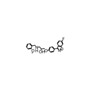 COc1ccccc1CNCC(O)COc1ccc(-c2noc3cc(F)ccc23)cc1